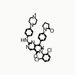 CN1CCN(c2ccc(Nc3ncc4c(=O)n(-c5c(Cl)cccc5Cl)nc(-c5ccc(N6CCCC6=O)cc5)c4n3)cc2)CC1